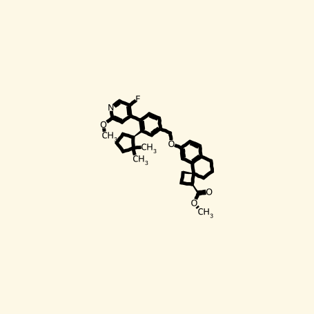 COC(=O)[C@H]1CC[C@@]12CCCc1ccc(OCc3ccc(-c4cc(OC)ncc4F)c([C@@H]4CCCC4(C)C)c3)cc12